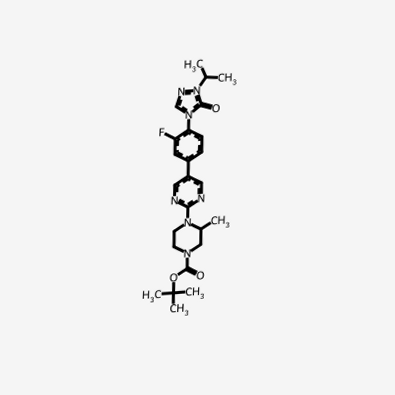 CC1CN(C(=O)OC(C)(C)C)CCN1c1ncc(-c2ccc(-n3cnn(C(C)C)c3=O)c(F)c2)cn1